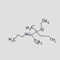 CCC/N=C(\C)C(C)(CCC)OCC